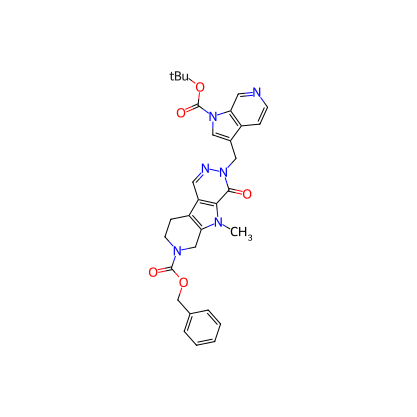 Cn1c2c(c3cnn(Cc4cn(C(=O)OC(C)(C)C)c5cnccc45)c(=O)c31)CCN(C(=O)OCc1ccccc1)C2